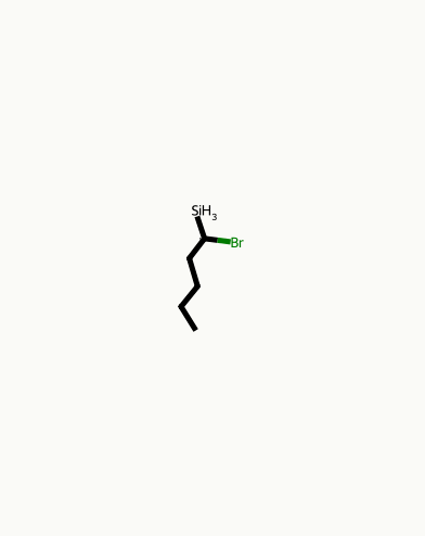 CCCC[C]([SiH3])Br